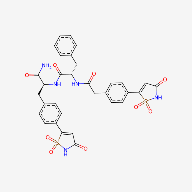 NC(=O)[C@H](Cc1ccc(C2=CC(=O)NS2(=O)=O)cc1)NC(=O)[C@H](Cc1ccccc1)NC(=O)Cc1ccc(C2=CC(=O)NS2(=O)=O)cc1